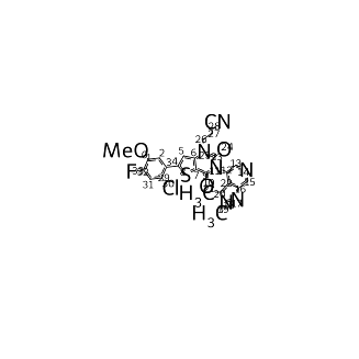 COc1cc(-c2cc3c(s2)c(=O)n(-c2cncc4nn(C)c(C)c24)c(=O)n3CCC#N)c(Cl)cc1F